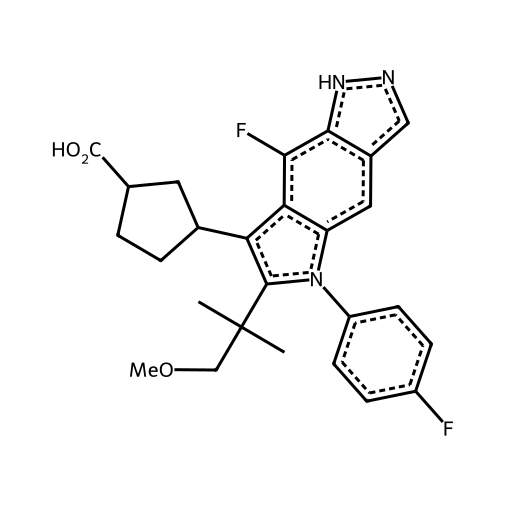 COCC(C)(C)c1c(C2CCC(C(=O)O)C2)c2c(F)c3[nH]ncc3cc2n1-c1ccc(F)cc1